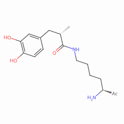 CC(=O)[C@@H](N)CCCCNC(=O)[C@@H](C)Cc1ccc(O)c(O)c1